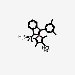 CC1=C(C)C(C)[C]([Zr]([CH3])([CH3])(=[SiH2])[CH]2C=C(c3cc(C)cc(C)c3)c3ccccc32)=C1C.Cl.Cl